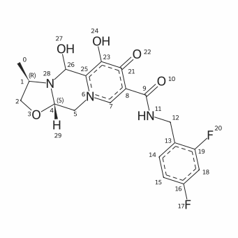 C[C@@H]1CO[C@H]2Cn3cc(C(=O)NCc4ccc(F)cc4F)c(=O)c(O)c3C(O)N12